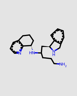 NCCCC(C[C@@H]1NCc2ccccc21)N[C@H]1CCCc2cccnc21